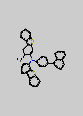 CC1Cc2c(sc3ccccc23)C=C1N(c1ccc(-c2cccc3ccccc23)cc1)c1cccc2c1sc1ccccc12